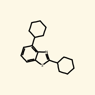 c1cc(C2CCCCC2)c2nc(C3CCCCC3)sc2c1